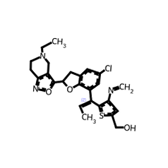 C=Nc1cc(CO)sc1/C(=C\C)c1cc(Cl)cc2c1OC(c1onc3c1CN(CC)CC3)C2